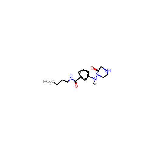 CC(=O)N(c1cccc(C(=O)NCCCC(=O)O)c1)N1CCNCC1=O